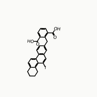 O=C(O)c1cccc(C(=O)O)c1Cc1ccc2c(c1)cc(I)c1c3c(ccc12)CCCC3